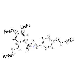 C#CCOc1ccc(/C=C/C(=O)c2cc(OCC)c(OC)cc2CCNC(C)=O)cc1